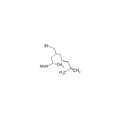 C=C(C)CCCC(CC(C)C)CC(C)NC